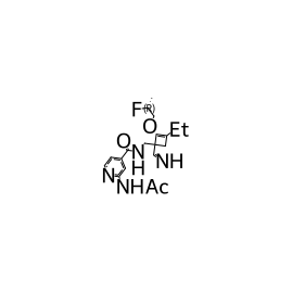 CCC1=C(OC[C@@H](C)F)C(C=N)(CNC(=O)c2ccnc(NC(C)=O)c2)C1